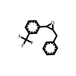 FC(F)(F)c1cccc(C2OC2Cc2ccccc2)c1